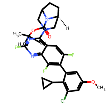 COc1cc(Cl)c(C2CC2)c(-c2c(F)cc3c(N4CC5CC[C@@H](C4)N5C(=O)OC(C)(C)C)nc(F)nc3c2F)c1